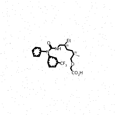 CC[C@@H](CC[C@H](C)COCC(=O)O)CNC(=O)N(c1ccccc1)c1cccc(C(F)(F)F)c1